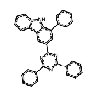 c1ccc(-c2nc(-c3ccccc3)nc(-c3cc(-c4ccccc4)c4[nH]c5ccccc5c4c3)n2)cc1